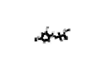 COC(=O)C(C)(C)CNc1ccc(Br)cc1F